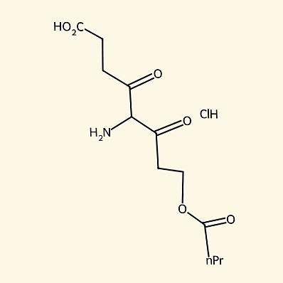 CCCC(=O)OCCC(=O)C(N)C(=O)CCC(=O)O.Cl